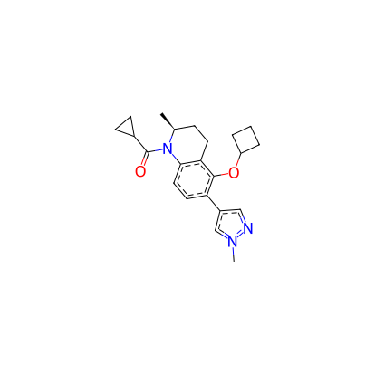 C[C@H]1CCc2c(ccc(-c3cnn(C)c3)c2OC2CCC2)N1C(=O)C1CC1